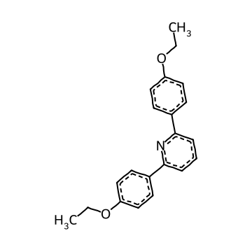 CCOc1ccc(-c2cccc(-c3ccc(OCC)cc3)n2)cc1